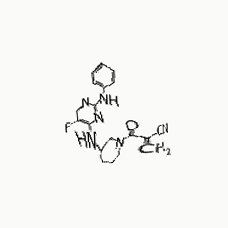 C=C(C#N)C(=O)N1CCCC(Nc2nc(Nc3ccccc3)ncc2F)C1